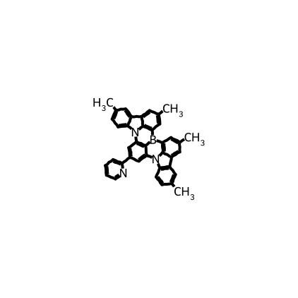 Cc1ccc2c(c1)c1cc(C)cc3c1n2-c1cc(-c2ccccn2)cc2c1B3c1cc(C)cc3c4cc(C)ccc4n-2c13